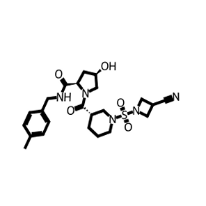 Cc1ccc(CNC(=O)[C@H]2C[C@@H](O)CN2C(=O)[C@H]2CCCN(S(=O)(=O)N3CC(C#N)C3)C2)cc1